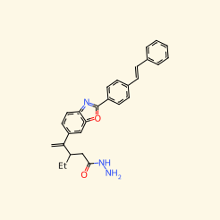 C=C(c1ccc2nc(-c3ccc(/C=C/c4ccccc4)cc3)oc2c1)C(CC)CC(=O)NN